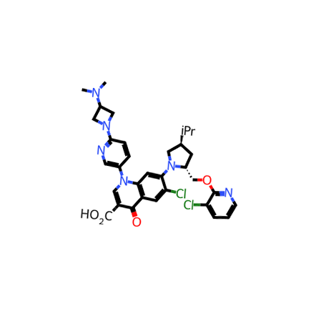 CC(C)[C@H]1C[C@H](COc2ncccc2Cl)N(c2cc3c(cc2Cl)c(=O)c(C(=O)O)cn3-c2ccc(N3CC(N(C)C)C3)nc2)C1